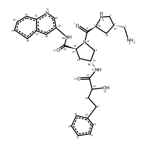 NC[C@H]1CN[C@H](C(=O)N2C[C@H](NC(=O)C(O)CCc3ccccc3)C[C@H]2C(=O)Nc2cnc3ccccc3c2)C1